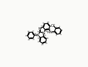 Clc1ccccc1Nc1cccc2nc3n(-c4ccccc4)c4ccccc4n3c12